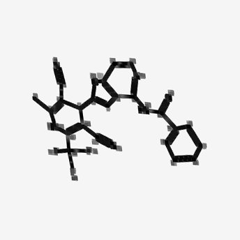 CC1=C(C#N)C(c2cc3c(NC(=O)c4ccccc4)nccc3o2)C(C#N)=C(C(F)(F)F)N1